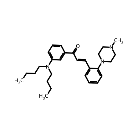 CCCCN(CCCC)c1cccc(C(=O)C=Cc2ccccc2N2CCN(C)CC2)c1